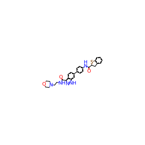 O=C(NCCN1CCOCC1)c1n[nH]c2cc(-c3ccc(NC(=O)C4Cc5ccccc5S4)cc3)ccc12